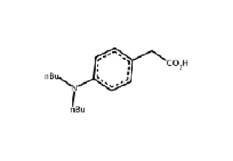 CCCCN(CCCC)c1ccc(CC(=O)O)cc1